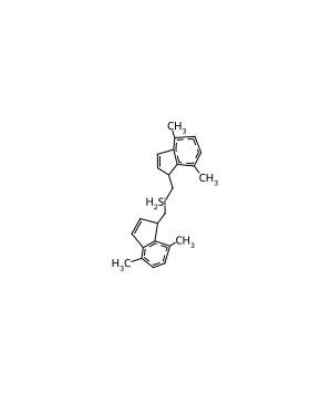 Cc1ccc(C)c2c1C=CC2C[SiH2]CC1C=Cc2c(C)ccc(C)c21